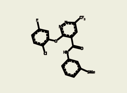 CSc1cccc(NC(=O)c2cc(C(F)(F)F)nnc2Oc2cc(F)ccc2Cl)c1